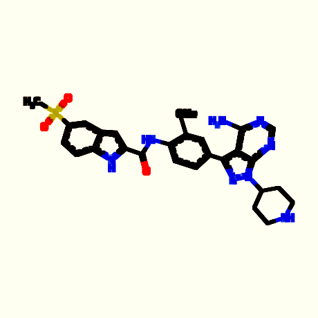 COc1cc(-c2nn(C3CCNCC3)c3ncnc(N)c23)ccc1NC(=O)c1cc2cc(S(C)(=O)=O)ccc2[nH]1